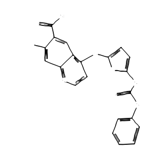 Cc1cc2nccc(Sc3ccc(NC(=O)Nc4ccccc4)s3)c2cc1C(N)=O